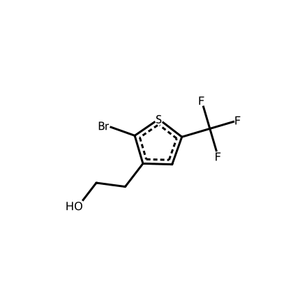 OCCc1cc(C(F)(F)F)sc1Br